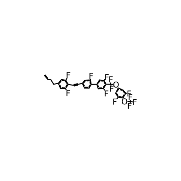 C=CCCc1cc(F)c(C#Cc2ccc(-c3cc(F)c(C(F)(F)Oc4cc(F)c(OC(F)(F)F)c(F)c4)c(F)c3)c(F)c2)c(F)c1